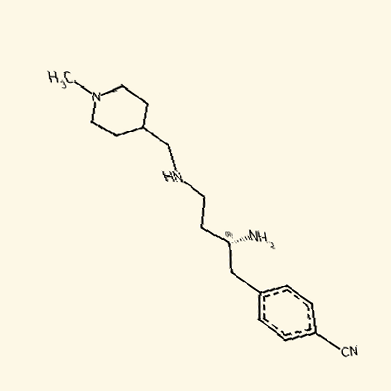 CN1CCC(CNCC[C@H](N)Cc2ccc(C#N)cc2)CC1